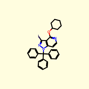 Ic1nn(C(c2ccccc2)(c2ccccc2)c2ccccc2)c2ccnc(OC3CCCCC3)c12